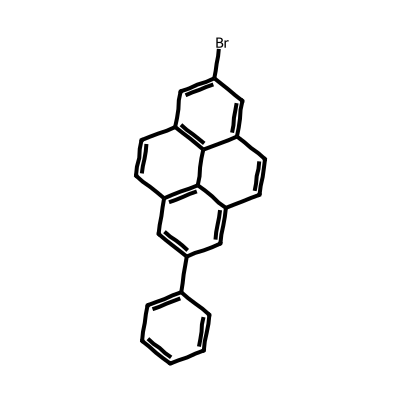 Brc1cc2ccc3cc(-c4ccccc4)cc4ccc(c1)c2c34